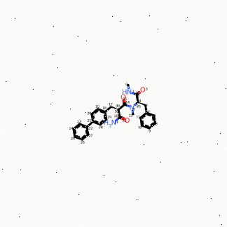 CNC(=O)[C@@H](Cc1ccccc1)N(C)C(=O)[C@H](Cc1ccc(-c2ccccc2)cc1)C(N)=O